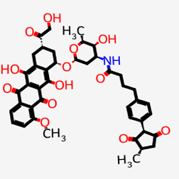 COc1cccc2c1C(=O)c1c(O)c3c(c(O)c1C2=O)C[C@H](C(=O)CO)C[C@@H]3O[C@H]1C[C@H](NC(=O)CCCc2ccc([C@H]3C(=O)C[C@@H](C)C3=O)cc2)[C@H](O)[C@H](C)O1